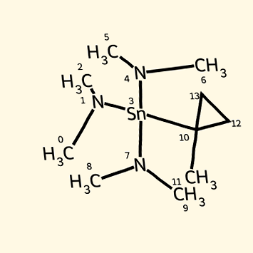 C[N](C)[Sn]([N](C)C)([N](C)C)[C]1(C)CC1